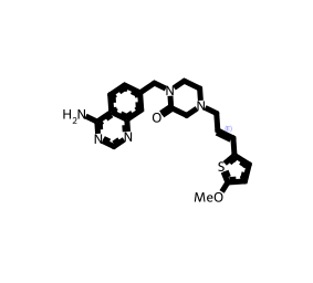 COc1ccc(/C=C/CN2CCN(Cc3ccc4c(N)ncnc4c3)C(=O)C2)s1